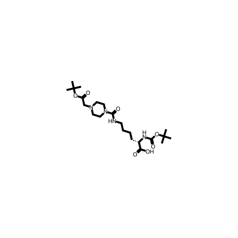 CC(C)(C)OC(=O)CN1CCN(C(=O)NCCCC[C@H](NC(=O)OC(C)(C)C)C(=O)O)CC1